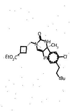 CCOC(=O)[C@H]1C[C@H](CN2C=C(C(C)C)[C@](C)(c3ccc(CCC(C)(C)C)c(Cl)c3)NC2=O)C1